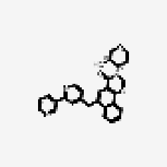 O=c1c2cc(Cc3ccnc(-c4cccnc4)c3)c3ccccc3c2ncn1[C@H]1CCOC[C@@H]1O